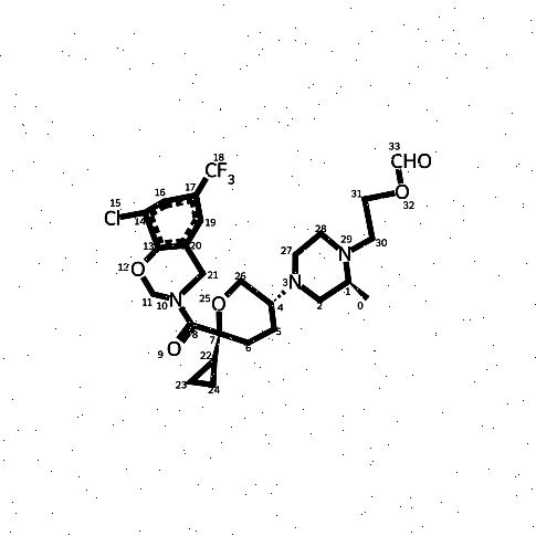 C[C@H]1CN([C@@H]2CC[C@@](C(=O)N3COc4c(Cl)cc(C(F)(F)F)cc4C3)(C3CC3)OC2)CCN1CCOC=O